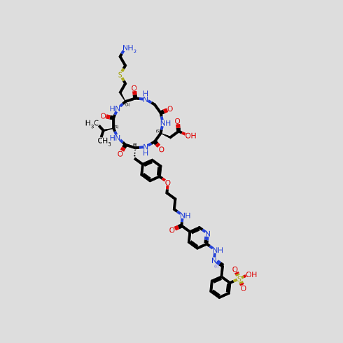 CC(C)[C@@H]1NC(=O)[C@@H](Cc2ccc(OCCCNC(=O)c3ccc(N/N=C/c4ccccc4S(=O)(=O)O)nc3)cc2)NC(=O)[C@H](CC(=O)O)NC(=O)CNC(=O)[C@H](CCSCCN)NC1=O